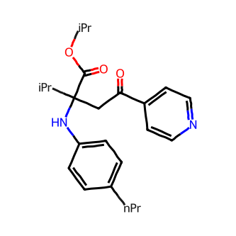 CCCc1ccc(NC(CC(=O)c2ccncc2)(C(=O)OC(C)C)C(C)C)cc1